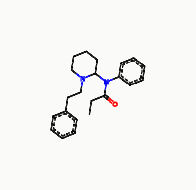 CCC(=O)N(c1ccccc1)C1CCCCN1CCc1ccccc1